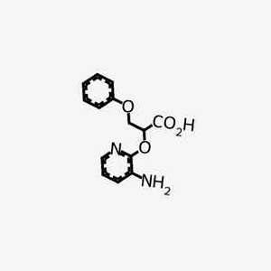 Nc1cccnc1OC(COc1ccccc1)C(=O)O